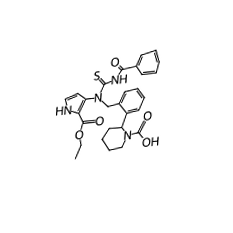 CCOC(=O)c1[nH]ccc1N(Cc1ccccc1C1CCCCN1C(=O)O)C(=S)NC(=O)c1ccccc1